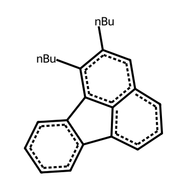 CCCCc1cc2cccc3c2c(c1CCCC)-c1ccccc1-3